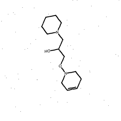 OC(CON1CC=CCC1)CN1CCCCC1